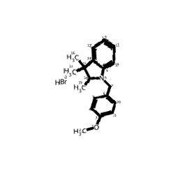 Br.COc1ccc(CN2c3ccccc3C(C)(C)C2C)cc1